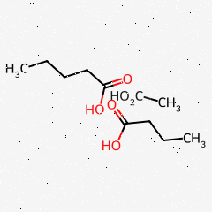 CC(=O)O.CCCC(=O)O.CCCCC(=O)O